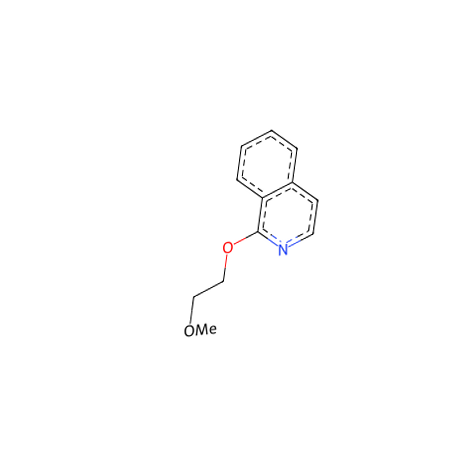 COCCOc1nccc2ccccc12